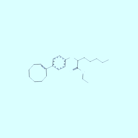 CCCCCC(Oc1ccc(C2=CCCCCCC2)cc1)C(=O)OCC